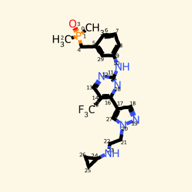 CP(C)(=O)Cc1cccc(Nc2ncc(C(F)(F)F)c(-c3cnn(CCNC4CC4)c3)n2)c1